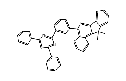 CC1(C)c2ccccc2-c2nc(-c3cccc(-c4nc(-c5ccccc5)cc(-c5ccccc5)n4)c3)c3ccccc3c21